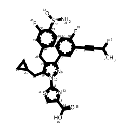 CC(F)C#Cc1cc(-c2nn(-c3nc(C(=O)O)cs3)c(CC3CC3)c2Cc2ccc([S+](N)[O-])c(F)c2)ccc1F